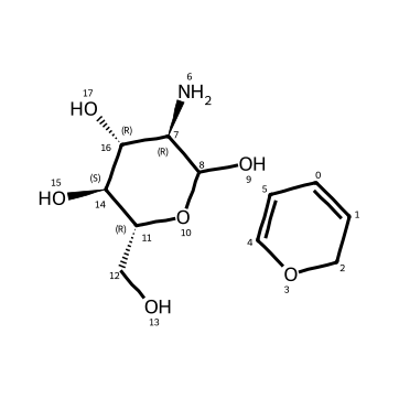 C1=CCOC=C1.N[C@H]1C(O)O[C@H](CO)[C@@H](O)[C@@H]1O